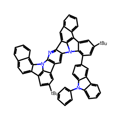 CC(C)(C)c1cc(-c2ccc3c(c2)c2ccccc2n3-c2ccccc2)c2c(c1)c1c3ccccc3cc3c4nc5c(cc4n2c31)c1cc(C(C)(C)C)cc2c3ccc4ccccc4c3n5c12